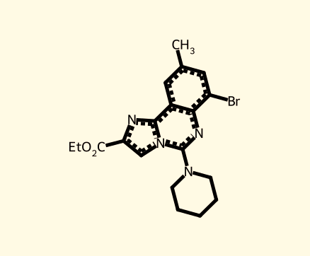 CCOC(=O)c1cn2c(N3CCCCC3)nc3c(Br)cc(C)cc3c2n1